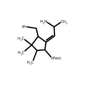 CCCCCC1/C(=C/C(C)N)C(CC(C)C)C(C)(C)C1C